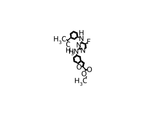 CCOC(=O)c1cc2cc(Nc3ncc(F)c(Nc4cccc(C(C)C)c4)n3)ccc2o1